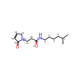 CC(C)CCCCNC(=O)CCN1CC=CC1=O